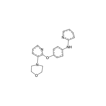 c1ccc(Nc2ccc(Oc3ncccc3N3CCOCC3)cc2)nc1